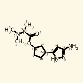 CN(C)N(C)C(=O)O[C@@H]1CC[C@H](c2cc(N)n[nH]2)C1